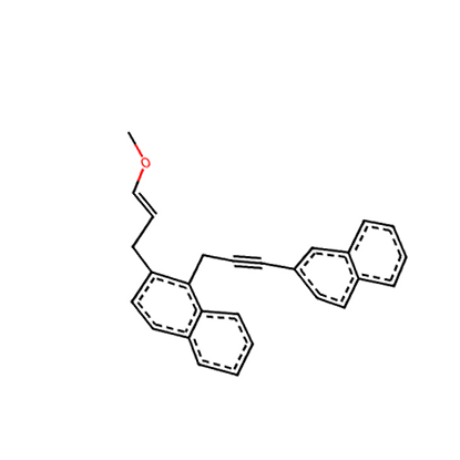 COC=CCc1ccc2ccccc2c1CC#Cc1ccc2ccccc2c1